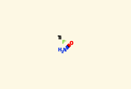 [F-].[NH2+]=O.[Ti]